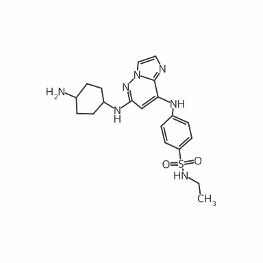 CCNS(=O)(=O)c1ccc(Nc2cc(NC3CCC(N)CC3)nn3ccnc23)cc1